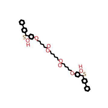 O=C(CCCCCOc1ccc(C(=S)c2ccc(-c3ccccc3)cc2)c(O)c1)OCCCCCCOC(=O)CCCCCOc1ccc(C(=S)c2ccc(-c3ccccc3)cc2)c(O)c1